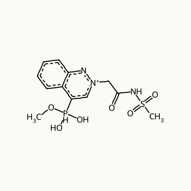 CO[PH](O)(O)c1c[n+](CC(=O)NS(C)(=O)=O)nc2ccccc12